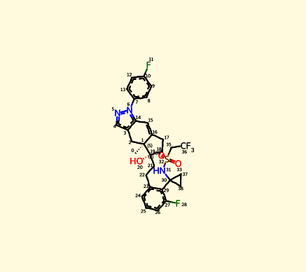 C[C@]12Cc3cnn(-c4ccc(F)cc4)c3C=C1CC[C@@]2(O)CCc1cccc(F)c1C1(NS(=O)(=O)CC(F)(F)F)CC1